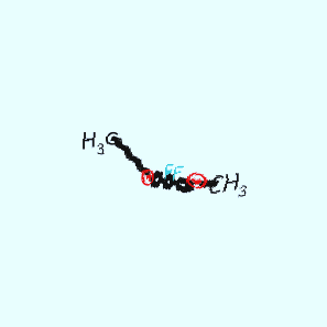 CCCCCCCCOc1ccc(-c2ccc(-c3cccc(OCCC)c3)c(F)c2F)cc1